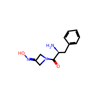 N[C@@H](Cc1ccccc1)C(=O)N1CC(=NO)C1